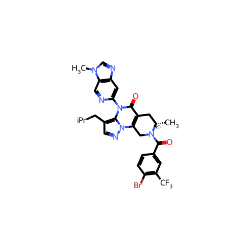 CC(C)Cc1cnn2c3c(c(=O)n(-c4cc5ncn(C)c5cn4)c12)C[C@H](C)N(C(=O)c1ccc(Br)c(C(F)(F)F)c1)C3